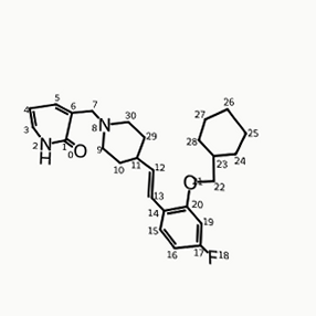 O=c1[nH]cccc1CN1CCC(C=Cc2ccc(F)cc2OCC2CCCCC2)CC1